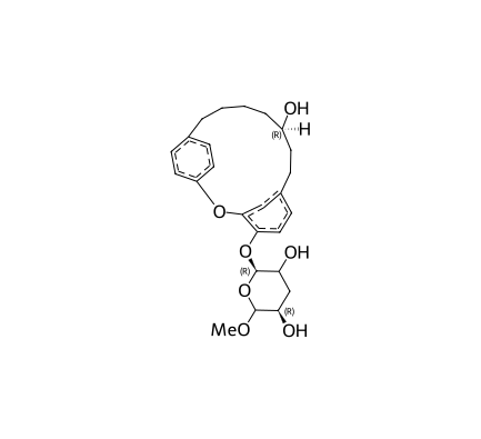 COC1O[C@@H](Oc2ccc3cc2Oc2ccc(cc2)CCCC[C@@H](O)CC3)C(O)C[C@H]1O